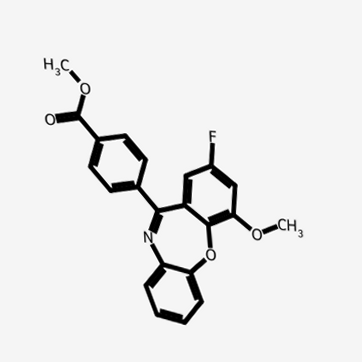 COC(=O)c1ccc(C2=Nc3ccccc3Oc3c(OC)cc(F)cc32)cc1